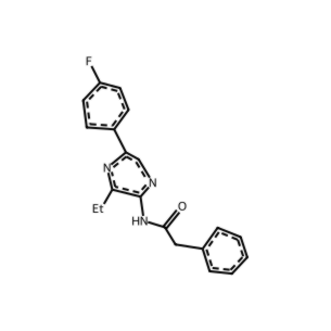 CCc1nc(-c2ccc(F)cc2)cnc1NC(=O)Cc1ccccc1